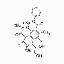 CCCCOc1c(C(=O)Oc2ccccc2)c(C)c(F)c(CC(O)CO)c1N(C(=O)OC(C)(C)C)C(=O)OC(C)(C)C